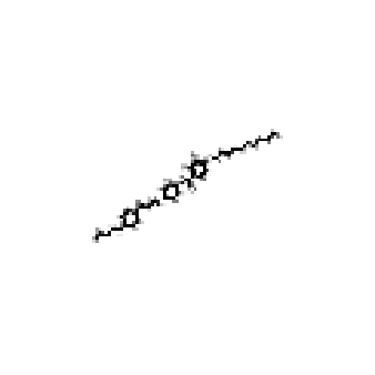 CCCCCCCCCCCOc1ccc(C(=O)Oc2ccc(OCC=CC3CCC(CCCCC)CC3)cc2)c(F)c1F